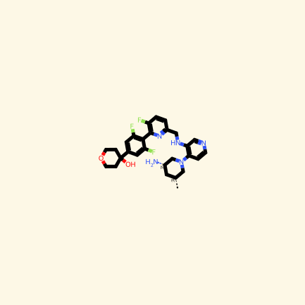 C[C@@H]1C[C@H](N)CN(c2ccncc2NCc2ccc(F)c(-c3c(F)cc(C4(O)CCOCC4)cc3F)n2)C1